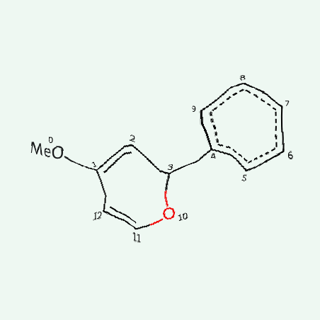 COC1=CC(c2ccccc2)OC=C1